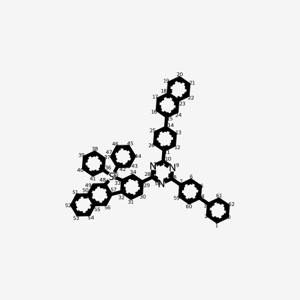 c1ccc(-c2ccc(-c3nc(-c4ccc(-c5ccc6ccccc6c5)cc4)nc(-c4ccc5c(c4)[Si](c4ccccc4)(c4ccccc4)c4cc6ccccc6cc4-5)n3)cc2)cc1